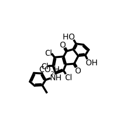 Cc1cccc(C(=O)O)c1Nc1c(Cl)c(Cl)c2c(c1Cl)C(=O)c1c(O)ccc(O)c1C2=O